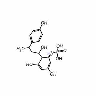 CC(CC(O)C1C(O)=CC(O)=C/C1=N\P(=O)(O)O)c1ccc(O)cc1